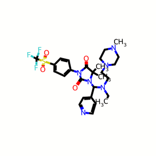 CCN(CCN1CCN(C)CC1)C(c1ccncc1)N1C(=O)N(c2ccc(S(=O)(=O)C(F)(F)F)cc2)C(=O)C1(C)C